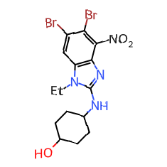 CCn1c(NC2CCC(O)CC2)nc2c([N+](=O)[O-])c(Br)c(Br)cc21